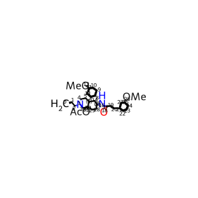 C=CCN1CC[C@@]2(c3cccc(OC)c3)C[C@@H](NC(=O)C=Cc3cccc(OC)c3)CC[C@]2(OC(C)=O)C1